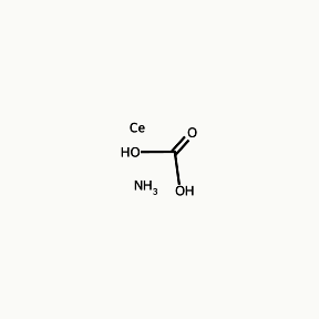 N.O=C(O)O.[Ce]